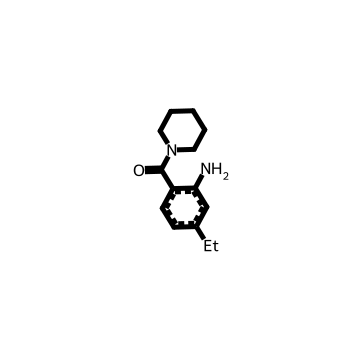 CCc1ccc(C(=O)N2CCCCC2)c(N)c1